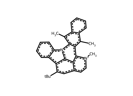 Cc1c2ccccc2c(C)c2c1c1c3c(cc[n+]1C)cc(C(C)(C)C)c1c4ccccc4n2c13